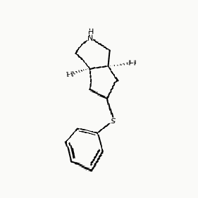 c1ccc(SC2C[C@H]3CNC[C@H]3C2)cc1